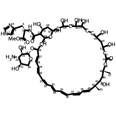 COC(=O)[C@H](Cc1c[nH]cn1)NC(=O)C1[C@@H]2CC(O[C@@H]3OC[C@@H](O)[C@H](N)[C@H]3O)/C=C/C=C/C=C/C=C/C=C/C=C/C=C/[C@H](C)[C@@H](O)C[C@H](C)OC(=O)CC(O)CC(O)CCC(O)C(O)CC(O)CC(O)(C[C@@H]1O)O2